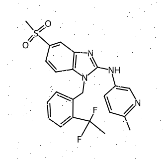 Cc1ccc(Nc2nc3cc(S(C)(=O)=O)ccc3n2Cc2ccccc2C(C)(F)F)cn1